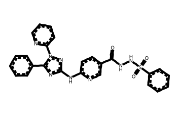 O=C(NNS(=O)(=O)c1ccccc1)c1ccc(Nc2nc(-c3ccccc3)n(-c3ccccn3)n2)nc1